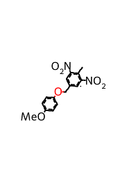 COc1ccc(OCc2[c]c([N+](=O)[O-])c(C)c([N+](=O)[O-])c2)cc1